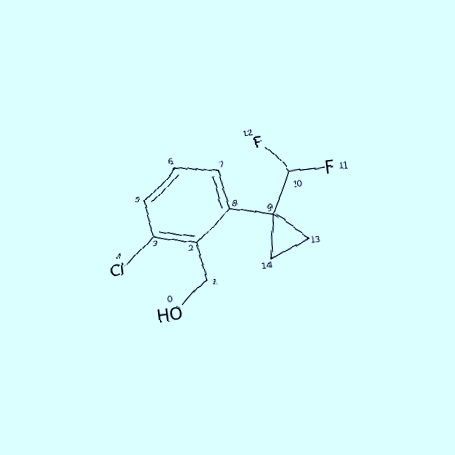 OCc1c(Cl)cccc1C1(C(F)F)CC1